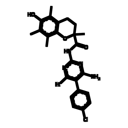 CCc1nc(NC(=O)C2(C)CCc3c(C)c(O)c(C)c(C)c3O2)nc(N)c1-c1ccc(Cl)cc1